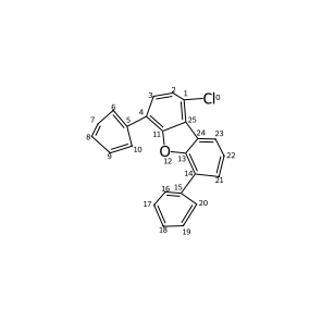 Clc1ccc(-c2ccccc2)c2oc3c(-c4ccccc4)cccc3c12